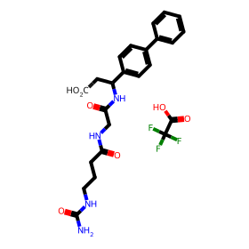 NC(=O)NCCCC(=O)NCC(=O)NC(CC(=O)O)c1ccc(-c2ccccc2)cc1.O=C(O)C(F)(F)F